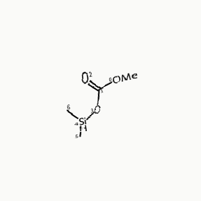 COC(=O)O[SiH](C)C